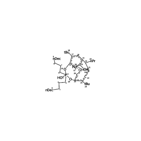 CCCCCCCCCCCCCP1(O)(CCCCCCCCCCCCC)Oc2cc(C)c(cc2C(C)(C)C)C(CCC)c2cc(C(C)(C)C)c(cc2C)O1